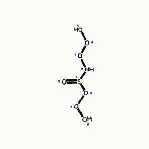 O=S(NOOO)OOO